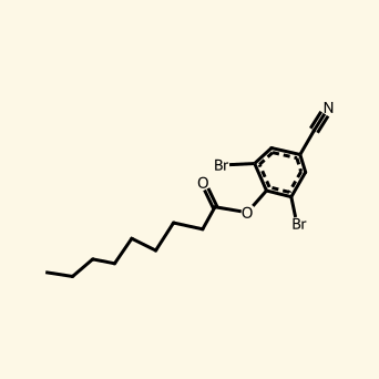 CCCCCCCCC(=O)Oc1c(Br)cc(C#N)cc1Br